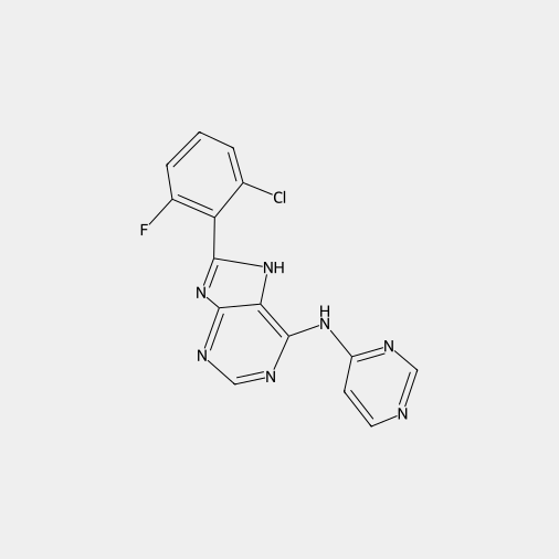 Fc1cccc(Cl)c1-c1nc2ncnc(Nc3ccncn3)c2[nH]1